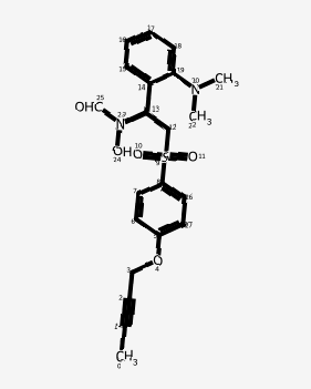 CC#CCOc1ccc(S(=O)(=O)CC(c2ccccc2N(C)C)N(O)C=O)cc1